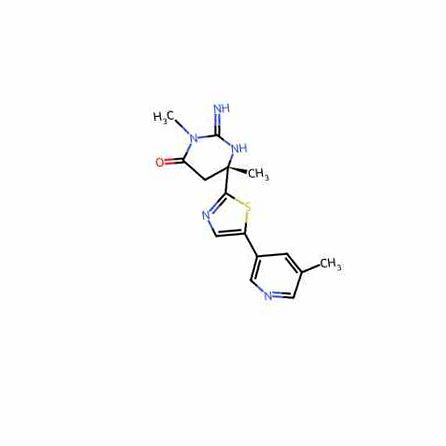 Cc1cncc(-c2cnc([C@]3(C)CC(=O)N(C)C(=N)N3)s2)c1